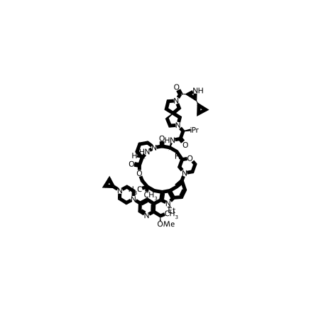 CCn1c(-c2cc(N3CCN(C4CC4)CC3)cnc2[C@H](C)OC)c2c3cc(ccc31)N1CCO[C@@H](C[C@H](NC(=O)[C@H](C(C)C)N3CC[C@]4(CCN(C(=O)[C@@H]5N[C@@H]5C5CC5)C4)C3)C(=O)N3CCC[C@H](N3)C(=O)OCC(C)(C)C2)C1